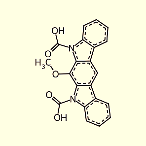 COc1c2c(cc3c4ccccc4n(C(=O)O)c13)c1ccccc1n2C(=O)O